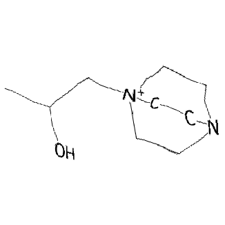 CC(O)C[N+]12CCN(CC1)CC2